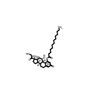 CCCCCCCCCCCCCC(=O)OC1=CC(=O)C=C2CC[C@@H]3[C@H]([C@@H](O)C[C@@]4(C)[C@H]3CC[C@]4(O)C(=O)CO)[C@]21C